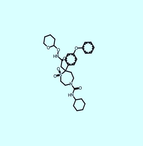 O=C(CC1(c2ccc(Oc3ccccc3)cc2)CCN(C(=O)NC2CCCCC2)CCS1(=O)=O)NOC1CCCCO1